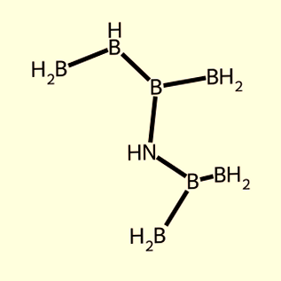 BBB(B)NB(B)B